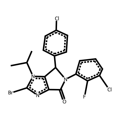 CC(C)n1c(Br)nc2c1C(c1ccc(Cl)cc1)N(c1cccc(Cl)c1F)C2=O